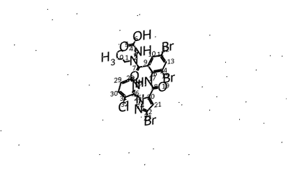 CCN(NC(=O)O)C(=O)c1cc(Br)cc(Br)c1NC(=O)c1cc(Br)nn1-c1ncccc1Cl